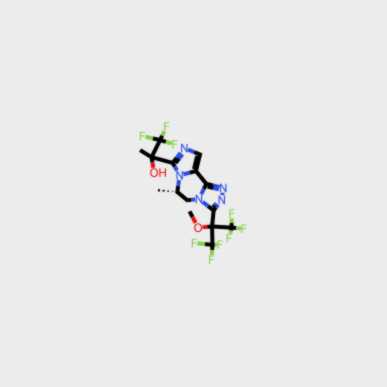 COC(c1nnc2n1C[C@H](C)n1c-2cnc1C(C)(O)C(F)(F)F)(C(F)(F)F)C(F)(F)F